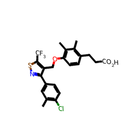 Cc1cc(-c2nsc(C(F)(F)F)c2COc2ccc(CCC(=O)O)c(C)c2C)ccc1Cl